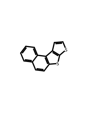 c1ccc2c(c1)ccc1sc3sccc3c12